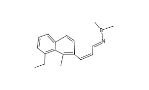 CCc1cccc2ccc(/C=C\C=N\B(C)C)c(C)c12